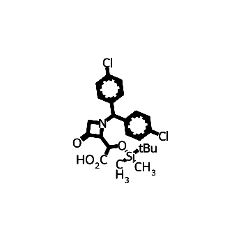 CC(C)(C)[Si](C)(C)OC(C(=O)O)C1C(=O)CN1C(c1ccc(Cl)cc1)c1ccc(Cl)cc1